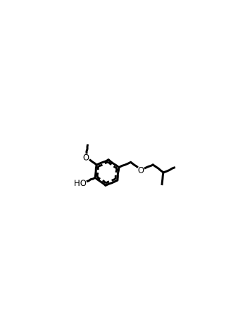 COc1cc(COCC(C)C)ccc1O